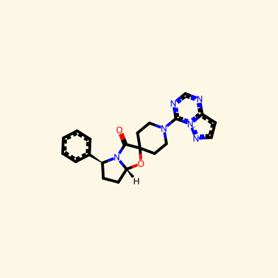 O=C1N2[C@@H](CC[C@H]2c2ccccc2)OC12CCN(c1ncnc3ccnn13)CC2